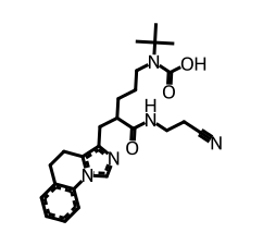 CC(C)(C)N(CCCC(Cc1ncn2c1CCc1ccccc1-2)C(=O)NCCC#N)C(=O)O